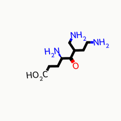 NCCC(CN)C(=O)[C@H](N)CCC(=O)O